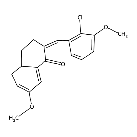 COC1=CCC2CCC(=Cc3cccc(OC)c3Cl)C(=O)C2=C1